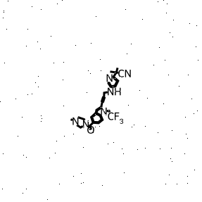 CN1CCN(C(=O)c2ccc3c(c2)cc(C#CCNc2ccc(C(C)(C)C#N)nc2)n3CC(F)(F)F)CC1